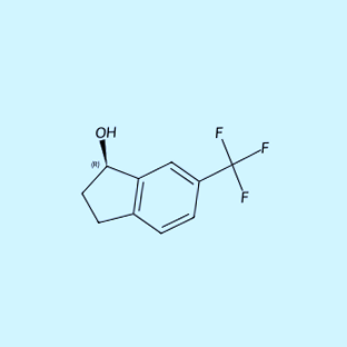 O[C@@H]1CCc2ccc(C(F)(F)F)cc21